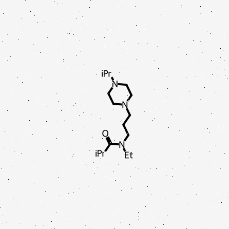 CCN(CCCN1CCN(C(C)C)CC1)C(=O)C(C)C